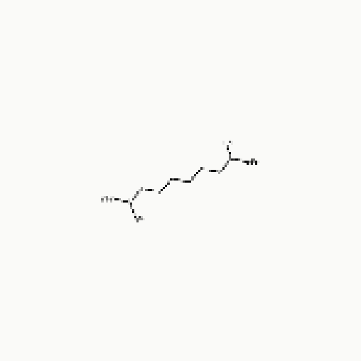 CCCN(CCC)CCCCCCN(CCC)CCC